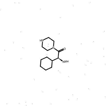 CN[C@H](C(=O)N1CCNCC1)C1CCCCC1